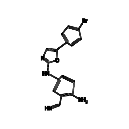 N=Cc1cc(Nc2ncc(-c3ccc(Br)cc3)o2)ccc1N